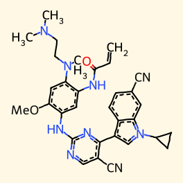 C=CC(=O)Nc1cc(Nc2ncc(C#N)c(-c3cn(C4CC4)c4cc(C#N)ccc34)n2)c(OC)cc1N(C)CCN(C)C